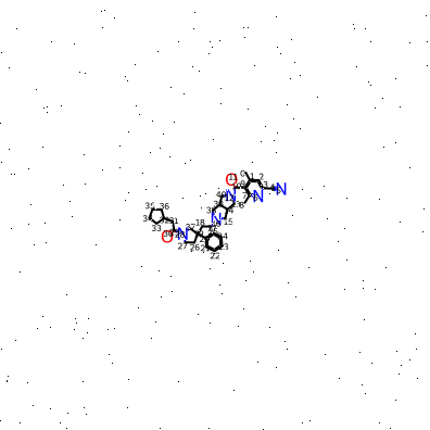 Cc1cc(C#N)nc(C)c1C(=O)N1CC2CN(CCC3(c4ccccc4)CCN(C(=O)CC4CCCC4)C3)CC2C1